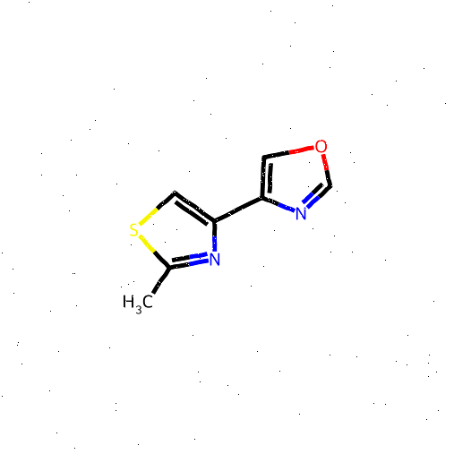 Cc1nc(-c2cocn2)cs1